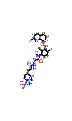 CC(=O)Nc1ccc(C=CC(=O)NCC(=O)N(C)c2ccc(C)c(COc3cccc4ccc(C)nc34)c2C)cn1